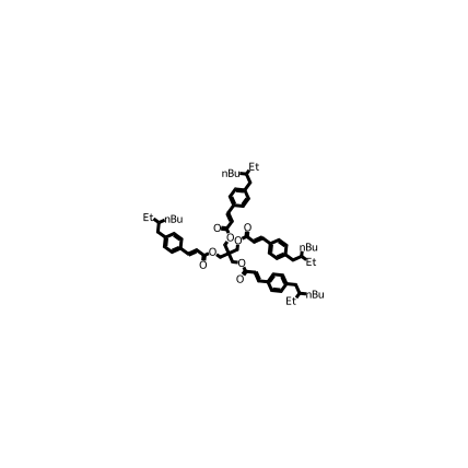 CCCCC(CC)Cc1ccc(/C=C/C(=O)OCC(COC(=O)/C=C/c2ccc(CC(CC)CCCC)cc2)(COC(=O)/C=C/c2ccc(CC(CC)CCCC)cc2)COC(=O)/C=C/c2ccc(CC(CC)CCCC)cc2)cc1